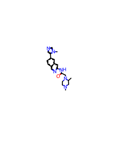 CC1CN(C)CCN1CC(=O)Nc1cc2cc(-c3cncn3C)ccc2cn1